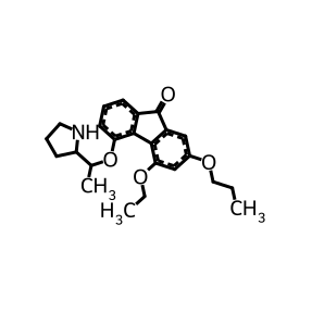 CCCOc1cc(OCC)c2c(c1)C(=O)c1cccc(OC(C)C3CCCN3)c1-2